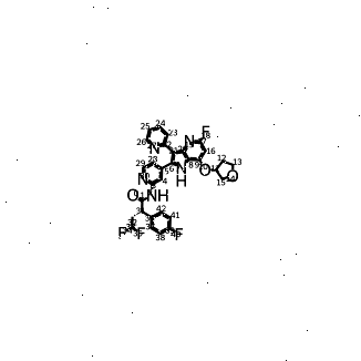 O=C(Nc1cc(-c2[nH]c3c(O[C@H]4CCOC4)cc(F)nc3c2-c2ccccn2)ccn1)[C@@H](CC(F)F)c1ccc(F)cc1